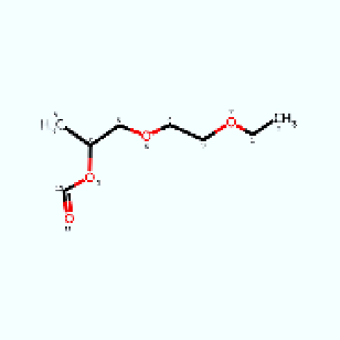 CCOCCOCC(C)O[C]=O